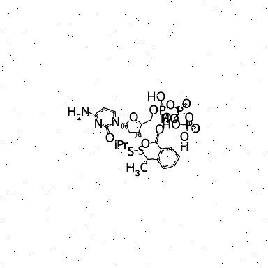 CC(C)SSC(C)c1ccccc1C(=O)O[C@@H]1C[C@H](n2ccc(N)nc2=O)OC1COP(=O)(O)OP(=O)(O)OP(=O)(O)O